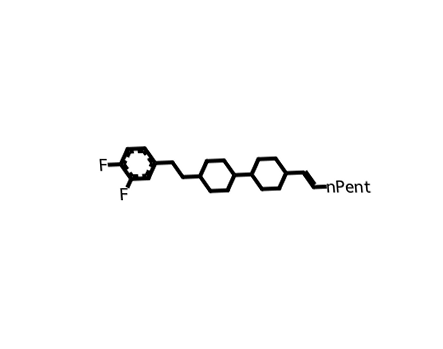 CCCCC/C=C/C1CCC(C2CCC(CCc3ccc(F)c(F)c3)CC2)CC1